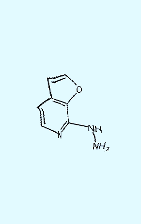 NNc1nccc2ccoc12